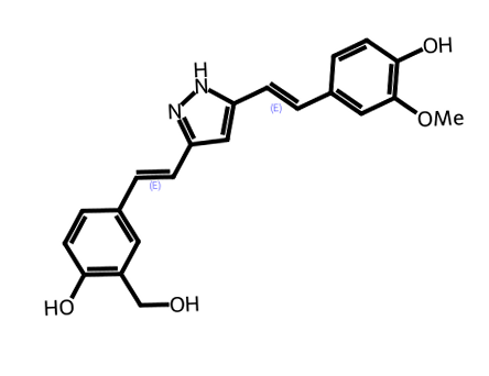 COc1cc(/C=C/c2cc(/C=C/c3ccc(O)c(CO)c3)n[nH]2)ccc1O